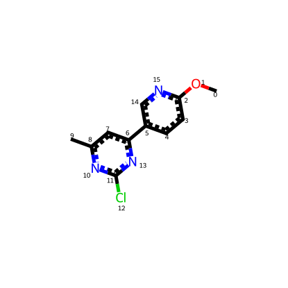 COc1ccc(-c2cc(C)nc(Cl)n2)cn1